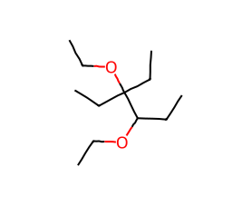 CCOC(CC)C(CC)(CC)OCC